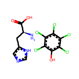 N[C@@H](Cc1cnc[nH]1)C(=O)O.Oc1c(Cl)c(Cl)c(Cl)c(Cl)c1Cl